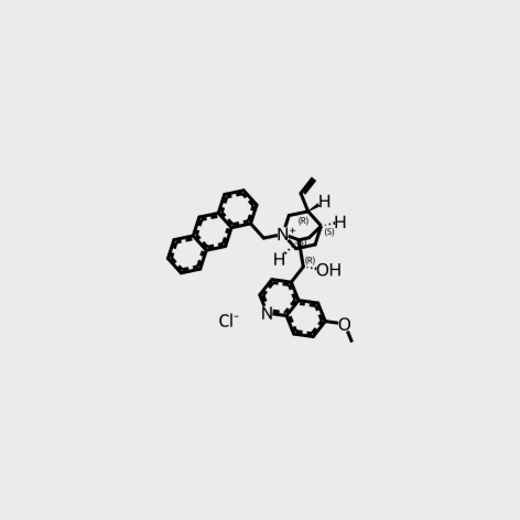 C=C[C@H]1C[N+]2(Cc3cccc4cc5ccccc5cc34)CC[C@H]1C[C@H]2[C@H](O)c1ccnc2ccc(OC)cc12.[Cl-]